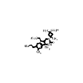 COCCC1=CN(C2(C)CC(C)(C(=O)O)C2)C(=O)N[C@@]1(C)c1ccc(CCC(C)(C)C)c(C(F)(F)F)c1